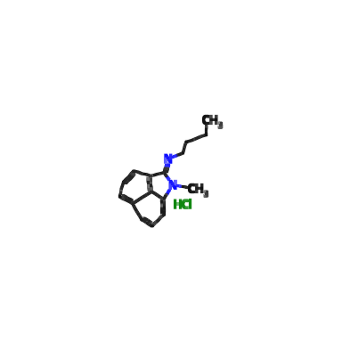 CCCC/N=C1/c2cccc3cccc(c23)N1C.Cl